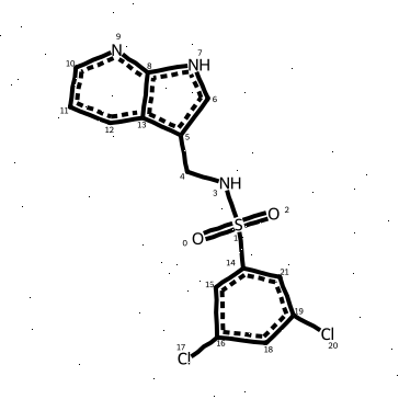 O=S(=O)(NCc1c[nH]c2ncccc12)c1cc(Cl)cc(Cl)c1